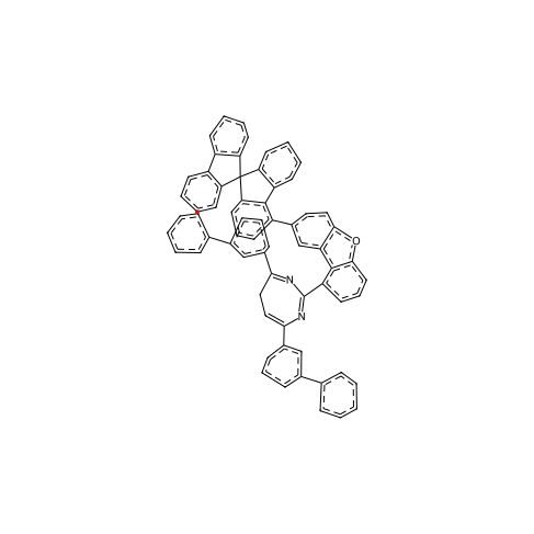 C1=C(c2cccc(-c3ccccc3)c2)N=C(c2cccc3oc4ccc(-c5cccc6c5-c5ccccc5C65c6ccccc6-c6ccccc65)cc4c23)N=C(c2cccc(-c3ccccc3)c2)C1